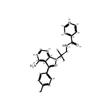 Cc1ccc(-c2nn(C(C)(C)CNC(=O)c3ccncn3)c3ncnc(N)c23)cc1